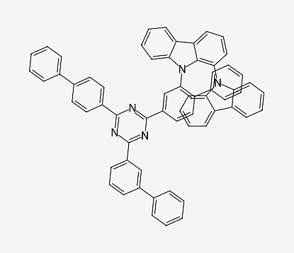 c1ccc(-c2ccc(-c3nc(-c4cccc(-c5ccccc5)c4)nc(-c4ccc(-c5ccccc5)c(-n5c6ccccc6c6cccc(-n7c8ccccc8c8ccccc87)c65)c4)n3)cc2)cc1